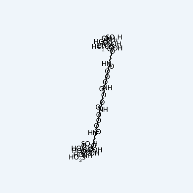 CCC1OC(OC2C(C(=O)O)OC(OCCCCCCNC(=O)CCOCCOCCOCCNC(=O)CCOCCCOCCC(=O)NCCOCCOCCOCCC(=O)NCCCCCCOC3OC(C(=O)O)C(OC4OC(COS(=O)(=O)O)C(O)C(O)C4NS(=O)(=O)O)C(O)C3O)C(O)C2O)C(NS(=O)(=O)O)C(O)C1O